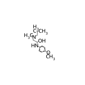 COc1ccc(NC(O)CN(C)CC(C)C)cc1